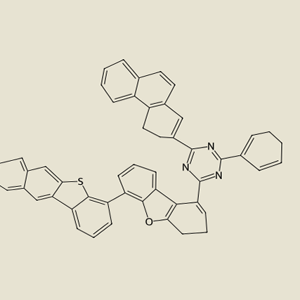 C1=CC(c2nc(C3=Cc4ccc5ccccc5c4CC3)nc(C3=CCCc4oc5c(-c6cccc7c6sc6cc8ccccc8cc67)cccc5c43)n2)=CCC1